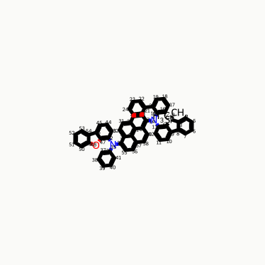 C[Si]1(C)c2ccccc2-c2cccc(N(c3ccccc3-c3ccccc3)c3ccc4ccc5c(N(c6ccccc6)c6cccc7c6oc6ccccc67)ccc6ccc3c4c65)c21